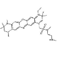 CC[N+]1=c2cc3c(cc2C(CS(=O)(=O)N(C)CCNC)=CC1(C)C)=Nc1cc2c(cc1O3)N(C)C(C)(C)CC2C